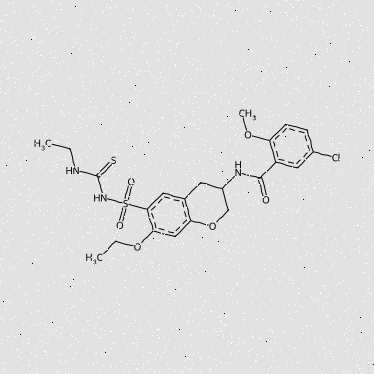 CCNC(=S)NS(=O)(=O)c1cc2c(cc1OCC)OCC(NC(=O)c1cc(Cl)ccc1OC)C2